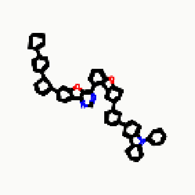 c1ccc(-c2ccc(-c3cccc(-c4ccc5c(c4)oc4c(-c6cccc7oc8ccc(-c9cccc(-c%10ccc%11c(c%10)c%10ccccc%10n%11-c%10ccccc%10)c9)cc8c67)ncnc45)c3)cc2)cc1